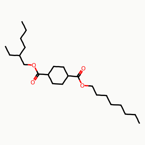 CCCCCCCCOC(=O)C1CCC(C(=O)OCC(CC)CCCC)CC1